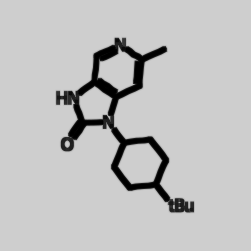 Cc1cc2c(cn1)[nH]c(=O)n2C1CCC(C(C)(C)C)CC1